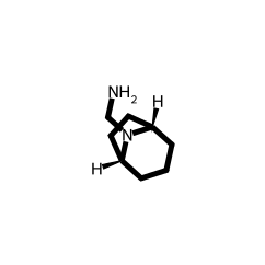 NCN1[C@@H]2CCC[C@H]1CC2